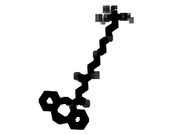 CC(C)(C)CCOCCOCCNC(=O)CCC(=O)N1CC2=CCCC=C2C#Cc2ccccc21